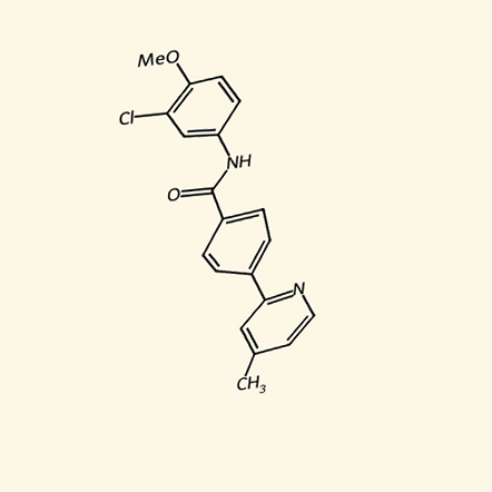 COc1ccc(NC(=O)c2ccc(-c3cc(C)ccn3)cc2)cc1Cl